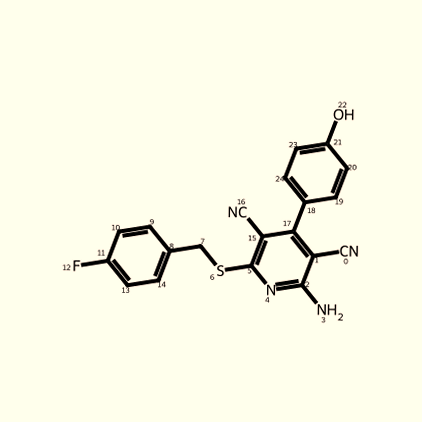 N#Cc1c(N)nc(SCc2ccc(F)cc2)c(C#N)c1-c1ccc(O)cc1